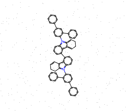 C1=Cc2c(n(-c3ccc(-c4ccccc4)cc3-c3ccccc3)c3cccc(-c4cccc5c4c4c(n5-c5ccc(-c6ccccc6)cc5-c5ccccc5)=CCCC=4)c23)CC1